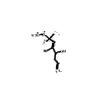 C=CCC(O)/C(=C/C(C)(C)NOC)CC